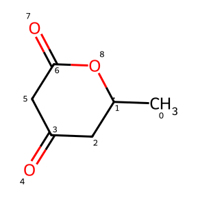 C[C]1CC(=O)CC(=O)O1